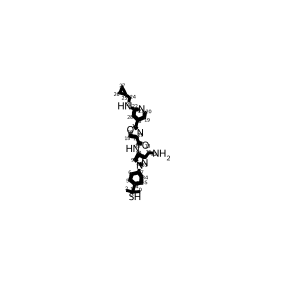 CC(C)(S)c1ccc(-n2cc(NC(=O)c3coc(-c4ccnc(NCC5CC5)c4)n3)c(CN)n2)cc1